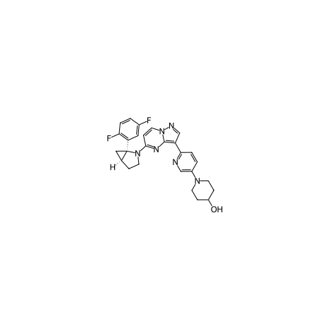 OC1CCN(c2ccc(-c3cnn4ccc(N5CC[C@H]6C[C@]65c5cc(F)ccc5F)nc34)nc2)CC1